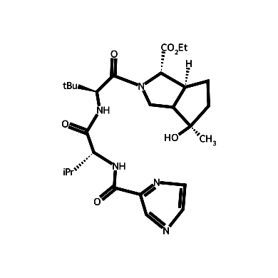 CCOC(=O)[C@@H]1[C@H]2CC[C@@](C)(O)C2CN1C(=O)[C@@H](NC(=O)[C@H](NC(=O)c1cnccn1)C(C)C)C(C)(C)C